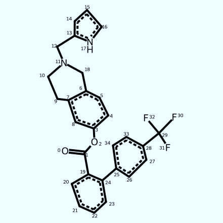 O=C(Oc1ccc2c(c1)CCN(Cc1ccc[nH]1)C2)c1ccccc1-c1ccc(C(F)(F)F)cc1